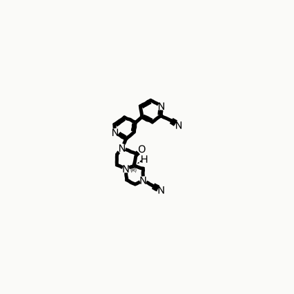 N#Cc1cc(-c2ccnc(N3CCN4CCN(C#N)C[C@@H]4C3=O)c2)ccn1